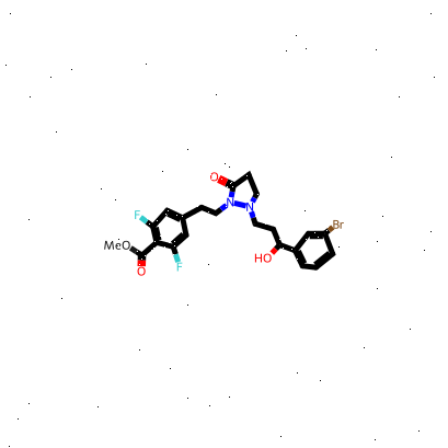 COC(=O)c1c(F)cc(CCN2C(=O)CCN2CCC(O)c2cccc(Br)c2)cc1F